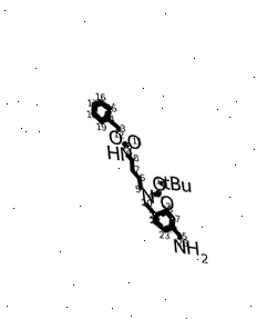 CC(C)(C)OC(=O)N(CCCCNC(=O)OCc1ccccc1)Cc1ccc(CN)cc1